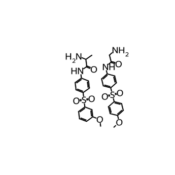 COc1ccc(S(=O)(=O)c2ccc(NC(=O)CN)cc2)cc1.COc1cccc(S(=O)(=O)c2ccc(NC(=O)C(C)N)cc2)c1